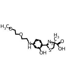 COCCOCCNc1ccc(C2=N[C@@](C)(C(=O)O)CS2)c(O)c1